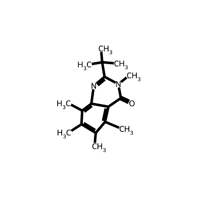 Cc1c(C)c(C)c2c(=O)n(C)c(C(C)(C)C)nc2c1C